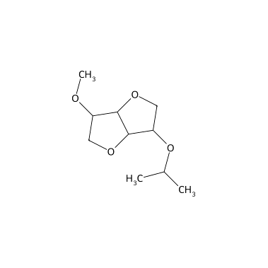 COC1COC2C(OC(C)C)COC12